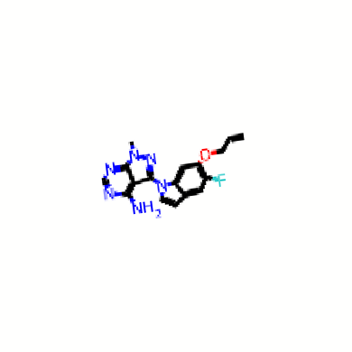 C=CCOc1cc2c(ccn2-c2nn(C)c3ncnc(N)c23)cc1F